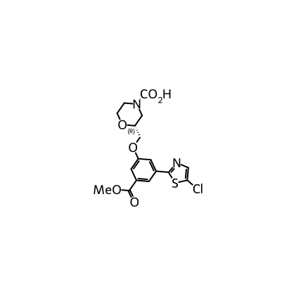 COC(=O)c1cc(OC[C@H]2CN(C(=O)O)CCO2)cc(-c2ncc(Cl)s2)c1